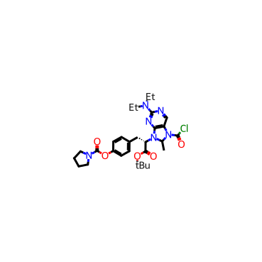 CCN(CC)c1ncc2c(n1)N([C@@H](Cc1ccc(OC(=O)N3CCCC3)cc1)C(=O)OC(C)(C)C)C(C)N2C(=O)Cl